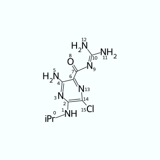 CC(C)Nc1nc(N)c(C(=O)N=C(N)N)nc1Cl